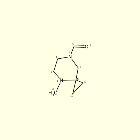 CN1CCN(C=O)CC12CC2